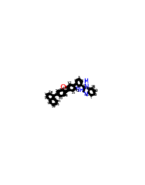 C1=CC2=NC=C(c3cccc4c3[nH]c3cc5c(cc34)oc3cc(-c4cccc6ccccc46)ccc35)NC2C=C1